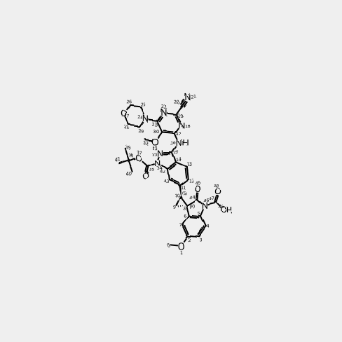 COc1ccc2c(c1)[C@]1(C[C@H]1c1ccc3c(Nc4nc(C#N)nc(N5CCOCC5)c4OC)nn(C(=O)OC(C)(C)C)c3c1)C(=O)N2C(=O)O